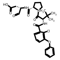 CC(C)(C)[C@H](NC(=O)c1cccc(Oc2ccccc2)c1Cl)C(=O)N1CCC[C@H]1C(=O)N[C@H](C=O)CC(=O)O